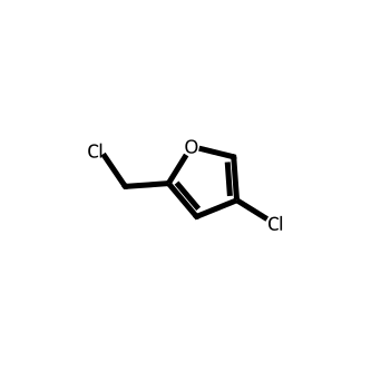 ClCc1cc(Cl)co1